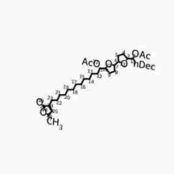 CCCCCCCCCCC(OC(C)=O)C1CCC(C2CCC(C(CCCCCCCCCCCCC3=CC(C)OC3=O)OC(C)=O)O2)O1